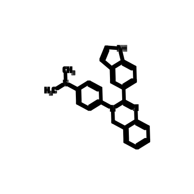 CN(C)c1ccc(N2Cc3ccccc3N=C2c2ccc3[nH]ccc3c2)cc1